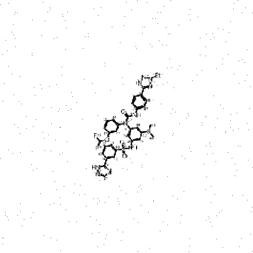 CCn1nnc(-c2ccc(NC(=O)N(c3cccc(OC(F)F)c3)c3cc(NS(=O)(=O)c4cccc(-c5ncn[nH]5)c4)cc(N(C)C)c3)cc2)n1